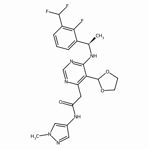 C[C@@H](Nc1ncnc(CC(=O)Nc2cnn(C)c2)c1C1OCCO1)c1cccc(C(F)F)c1F